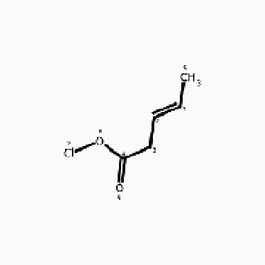 CC=CCC(=O)OCl